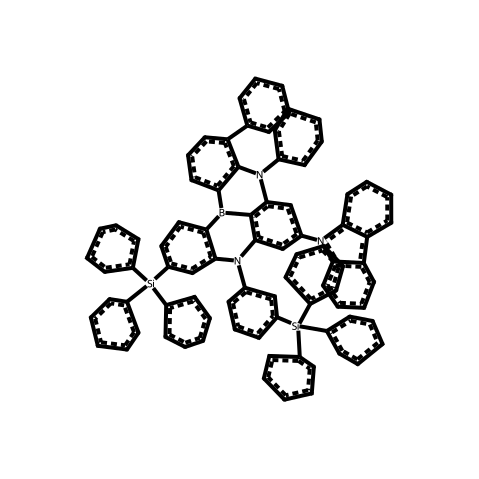 c1ccc(-c2cccc3c2N(c2ccccc2)c2cc(-n4c5ccccc5c5ccccc54)cc4c2B3c2ccc([Si](c3ccccc3)(c3ccccc3)c3ccccc3)cc2N4c2cccc([Si](c3ccccc3)(c3ccccc3)c3ccccc3)c2)cc1